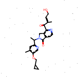 C/C(=C\CO)C(=O)c1nccc2c1CN(C(C)c1cc(C)c(OCC3CC3)cn1)C2=O